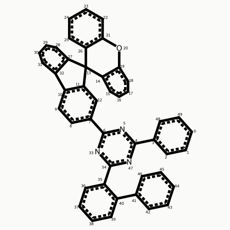 c1ccc(-c2nc(-c3ccc4c(c3)C3(c5ccccc5Oc5ccccc53)c3ccccc3-4)nc(-c3ccccc3-c3ccccc3)n2)cc1